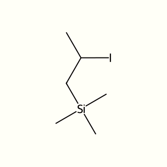 CC(I)C[Si](C)(C)C